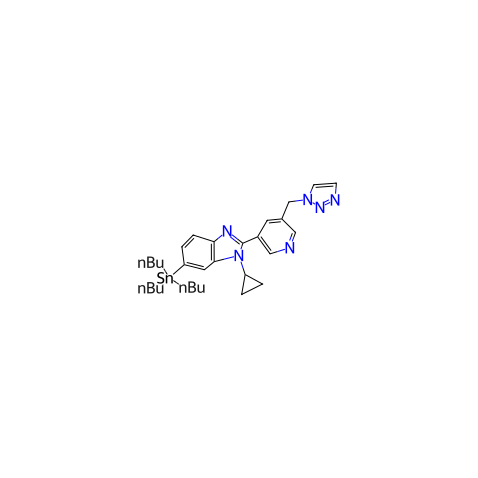 CCC[CH2][Sn]([CH2]CCC)([CH2]CCC)[c]1ccc2nc(-c3cncc(Cn4ccnn4)c3)n(C3CC3)c2c1